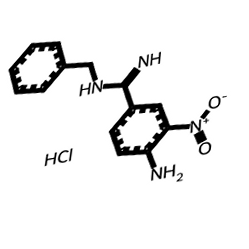 Cl.N=C(NCc1ccccc1)c1ccc(N)c([N+](=O)[O-])c1